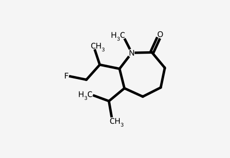 CC(C)C1CCCC(=O)N(C)C1C(C)CF